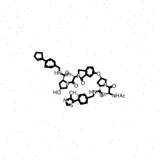 CC[C@H](NC(C)=O)C(=O)N1C[C@H](Oc2ccc3c(c2)C(=O)N([C@H](C(=O)N2C[C@H](O)C[C@H]2C(=O)NCc2ccc(C4=CCCC4)cc2)C(C)C)C3)C[C@H]1C(=O)NCc1ccc(-c2scnc2C)cc1